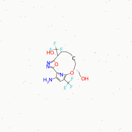 Nc1cc(C(F)(F)F)c2nc1-c1nnc(o1)[C@@](O)(C(F)(F)F)CCCCC[C@H](CCO)O2